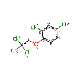 Clc1ccc(OCC(Cl)(Cl)Cl)c(Cl)c1